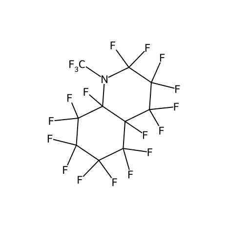 FC(F)(F)N1C(F)(F)C(F)(F)C(F)(F)C2(F)C(F)(F)C(F)(F)C(F)(F)C(F)(F)C12F